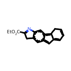 CCOC(=O)C1=Nc2cc3c(cc2C1)=CC1=CC=CCC=31